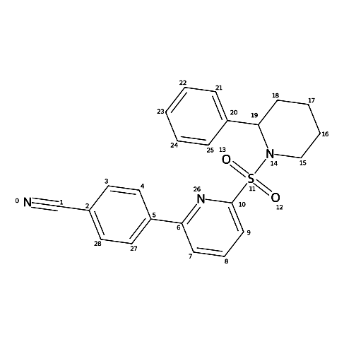 N#Cc1ccc(-c2cccc(S(=O)(=O)N3CCCCC3c3ccccc3)n2)cc1